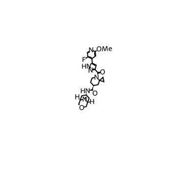 COc1cc(-c2cc(C(=O)N3CC[C@H](C(=O)N[C@H]4C[C@H]5COC[C@@H](C4)N5C)CC34CC4)n[nH]2)c(F)cn1